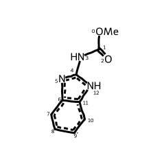 COC(=O)Nc1nc2cc[c]cc2[nH]1